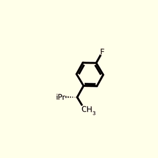 CC(C)[C@@H](C)c1ccc(F)cc1